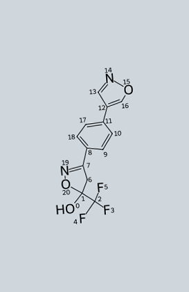 OC1(C(F)(F)F)CC(c2ccc(-c3cnoc3)cc2)=NO1